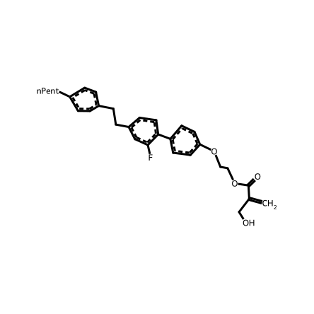 C=C(CO)C(=O)OCCOc1ccc(-c2ccc(CCc3ccc(CCCCC)cc3)cc2F)cc1